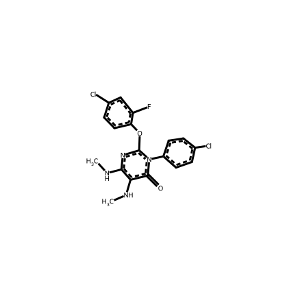 CNc1nc(Oc2ccc(Cl)cc2F)n(-c2ccc(Cl)cc2)c(=O)c1NC